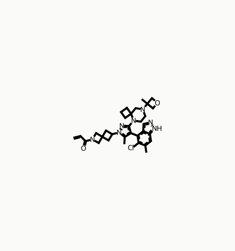 C=CC(=O)N1CC2(CC(n3nc(N4CCN(C5(C)COC5)CC45CCC5)c(-c4c(Cl)c(C)cc5[nH]ncc45)c3C)C2)C1